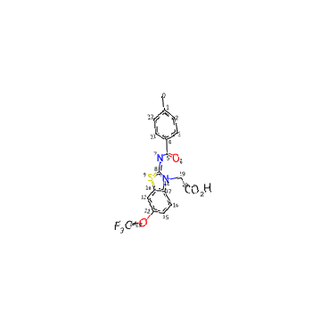 Cc1ccc(C(=O)N=c2sc3cc(OC(F)(F)F)ccc3n2CC(=O)O)cc1